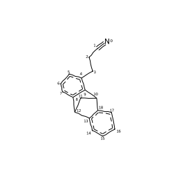 N#CCCc1cccc2c1C1CC2c2ccccc21